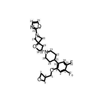 Fc1cc(OCC2COC2)c(C2CCN([C@@H]3COC4(C3)CN(c3ncco3)C4)CC2)cc1F